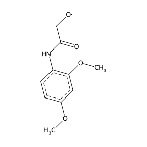 COc1ccc(NC(=O)C[O])c(OC)c1